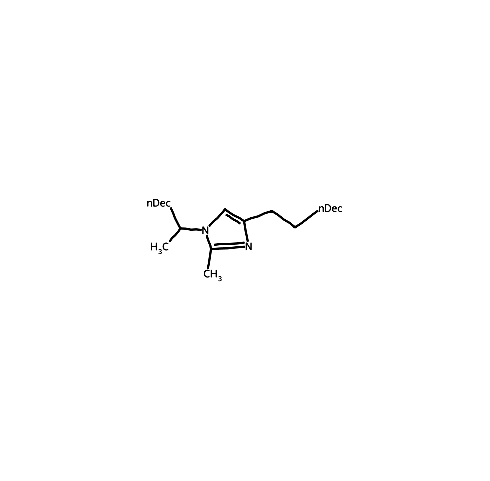 CCCCCCCCCCCCc1cn(C(C)CCCCCCCCCC)c(C)n1